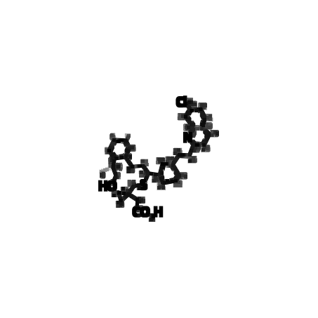 C[C@@H](CO)c1ccccc1CCC(SCC1(CC(=O)O)CC1)c1cccc(C=Cc2ccc3ccc(Cl)cc3n2)c1